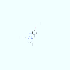 CCCOc1ccc(C[C@H](NCC)C(=O)C(C)C)cc1